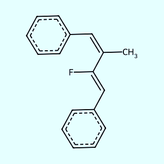 CC(=Cc1ccccc1)C(F)=Cc1ccccc1